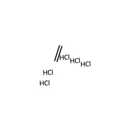 C=C.Cl.Cl.Cl.Cl.Cl